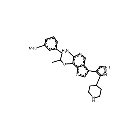 COc1cccc(CC(C)Oc2c(N)ncc3c(-c4c[nH]nc4C4CCNCC4)coc23)c1